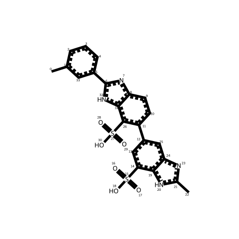 Cc1cccc(-c2nc3ccc(-c4cc(S(=O)(=O)O)c5[nH]c(C)nc5c4)c(S(=O)(=O)O)c3[nH]2)c1